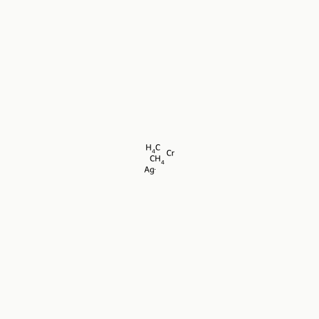 C.C.[Ag].[Cr]